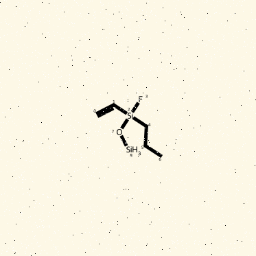 C=C[Si](F)(CCC)O[SiH3]